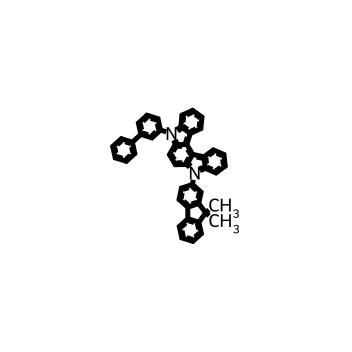 CC1(C)c2ccccc2-c2ccc(-n3c4ccccc4c4c5c6ccccc6n(-c6cccc(-c7ccccc7)c6)c5ccc43)cc21